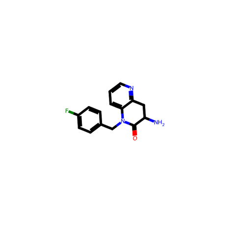 NC1Cc2ncccc2N(Cc2ccc(F)cc2)C1=O